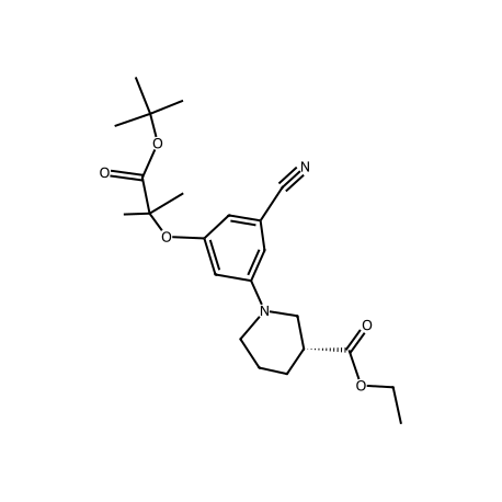 CCOC(=O)[C@@H]1CCCN(c2cc(C#N)cc(OC(C)(C)C(=O)OC(C)(C)C)c2)C1